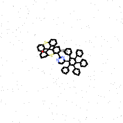 CC(C)(C)c1ccc2c(c1-c1nccc(-c3c(-c4ccccc4)c(-c4ccccc4)c(-c4ccccc4)c(-c4ccccc4)c3-c3ccccc3)n1)Sc1ccccc1C21c2ccccc2Sc2ccccc21